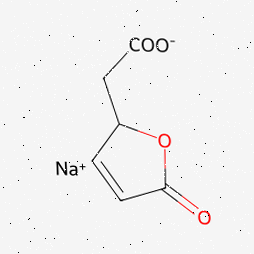 O=C([O-])CC1C=CC(=O)O1.[Na+]